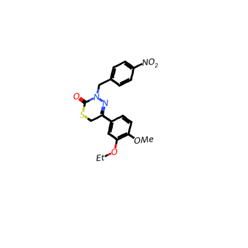 CCOc1cc(C2=NN(Cc3ccc([N+](=O)[O-])cc3)C(=O)SC2)ccc1OC